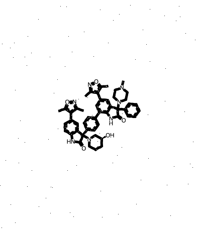 Cc1noc(C)c1-c1ccc2c(c1)C(c1ccc(-c3cc(-c4c(C)noc4C)cc4c3NC(=O)C4(c3ccccc3)N3CCN(C)CC3)cc1)(N1CCC[C@H](O)C1)C(=O)N2